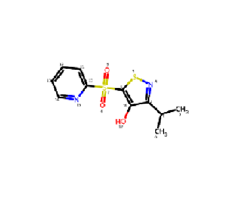 CC(C)c1nsc(S(=O)(=O)c2ccccn2)c1O